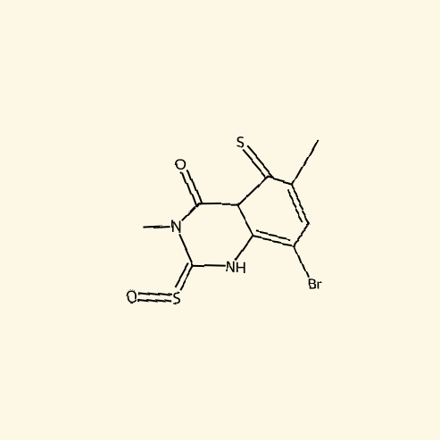 CC1=CC(Br)=C2NC(=S=O)N(C)C(=O)C2C1=S